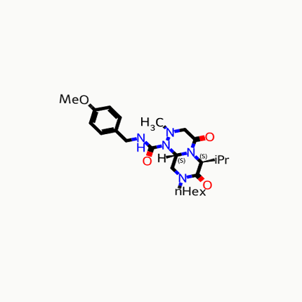 CCCCCCN1C[C@H]2N(C(=O)CN(C)N2C(=O)NCc2ccc(OC)cc2)[C@@H](C(C)C)C1=O